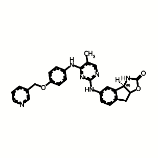 Cc1cnc(Nc2ccc3c(c2)[C@H]2NC(=O)OC2C3)nc1Nc1ccc(OCc2cccnc2)cc1